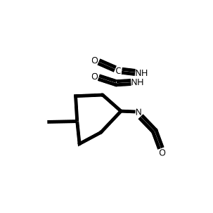 CC1CCC(N=C=O)CC1.N=C=O.N=C=O